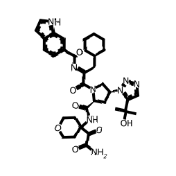 CC(C)(O)c1cnnn1[C@H]1C[C@@H](C(=O)NC2(C(=O)C(N)=O)CCOCC2)N(C(=O)/C(CC2CCCCC2)=N/C(=O)c2ccc3cc[nH]c3c2)C1